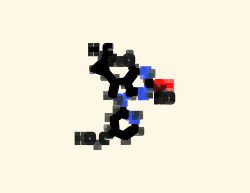 COc1ncnc2c1c(C1CC1C)cn2-c1cc(C(=O)O)ccn1.O=NO